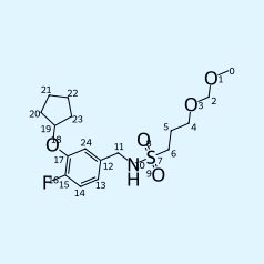 COCOCCCS(=O)(=O)NCc1ccc(F)c(OC2CCCC2)c1